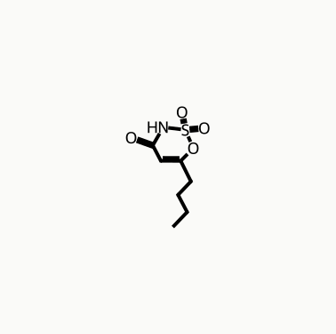 CCCCC1=CC(=O)NS(=O)(=O)O1